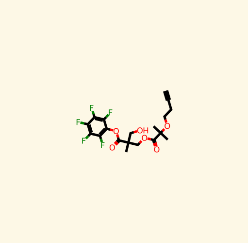 C#CCCOC(C)(C)C(=O)OCC(C)(CO)C(=O)Oc1c(F)c(F)c(F)c(F)c1F